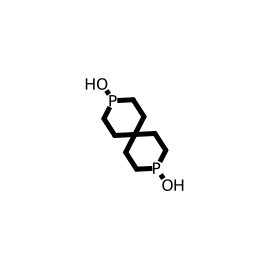 OP1CCC2(CC1)CCP(O)CC2